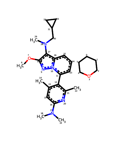 C1CCOCC1.COc1nn2c(-c3c(C)cc(N(C)C)nc3C)cccc2c1N(C)CC1CC1